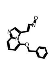 O=N/C=C/c1cnc2cccc(OCc3ccccc3)n12